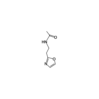 CC(=O)NCCc1ncco1